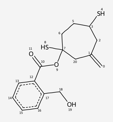 C=C1CC(S)CCC(S)(OC(=O)c2ccccc2CO)C1